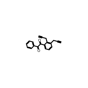 C#CCc1cccc(C(=O)C(=O)c2ccccc2)c1CC#C